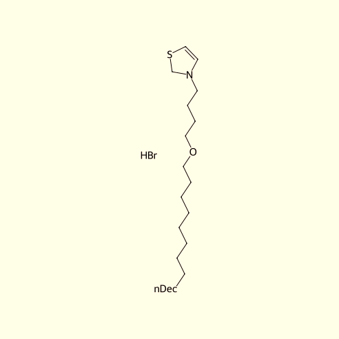 Br.CCCCCCCCCCCCCCCCCCOCCCCN1C=CSC1